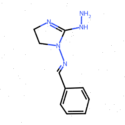 NNC1=NCCN1N=Cc1ccccc1